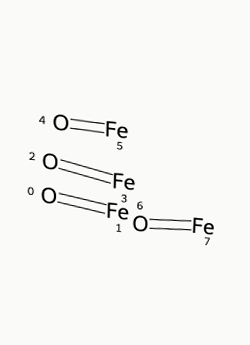 [O]=[Fe].[O]=[Fe].[O]=[Fe].[O]=[Fe]